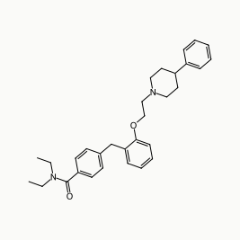 CCN(CC)C(=O)c1ccc(Cc2ccccc2OCCN2CCC(c3ccccc3)CC2)cc1